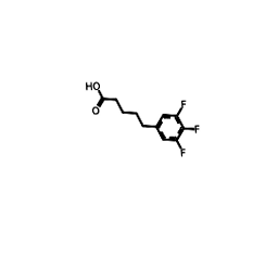 O=C(O)CCCCc1cc(F)c(F)c(F)c1